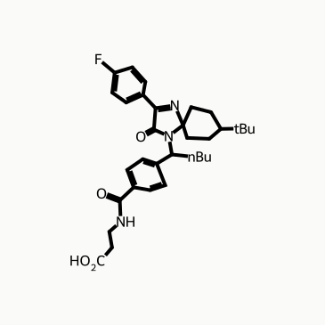 CCCCC(c1ccc(C(=O)NCCC(=O)O)cc1)N1C(=O)C(c2ccc(F)cc2)=NC12CCC(C(C)(C)C)CC2